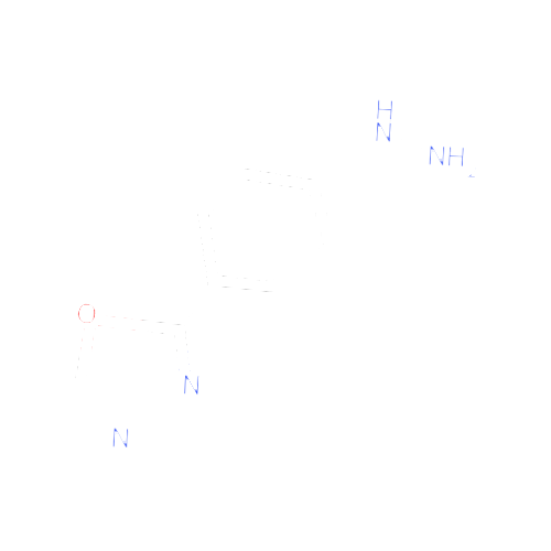 NNc1ccc(-c2nnco2)cc1